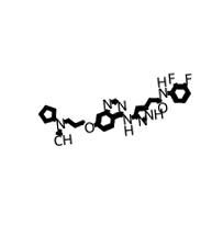 C#CN(CCCOc1ccc2c(Nc3cc(CC(=O)Nc4cccc(F)c4F)[nH]n3)ncnc2c1)C1CCCC1